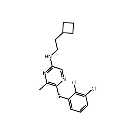 Cc1nc(NCCC2CCC2)cnc1Sc1cccc(Cl)c1Cl